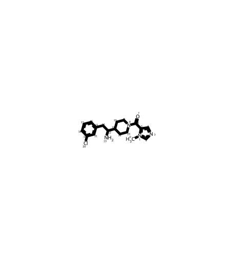 Cn1cncc1C(=O)N1CCC(C(N)Cc2cccc(Cl)c2)CC1